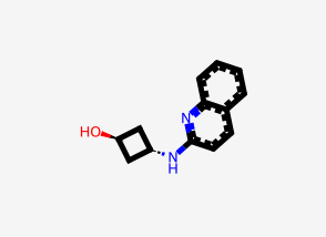 O[C@H]1C[C@H](Nc2ccc3ccccc3n2)C1